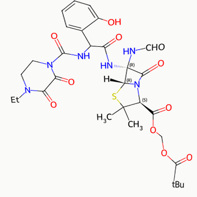 CCN1CCN(C(=O)NC(C(=O)N[C@]2(NC=O)C(=O)N3[C@@H](C(=O)OCOC(=O)C(C)(C)C)C(C)(C)S[C@@H]32)c2ccccc2O)C(=O)C1=O